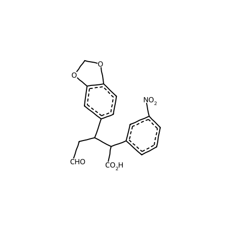 O=CCC(c1ccc2c(c1)OCO2)C(C(=O)O)c1cccc([N+](=O)[O-])c1